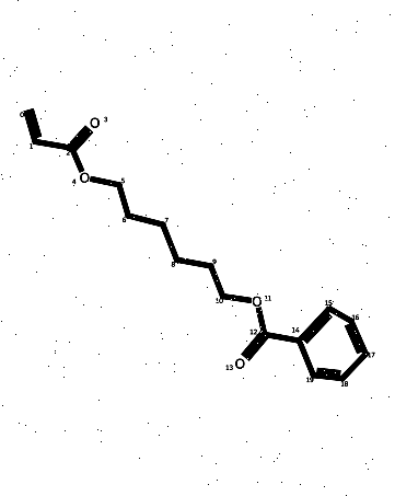 C=CC(=O)OCCCCCCOC(=O)c1ccccc1